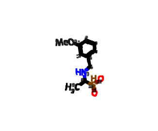 COc1cccc(CNC(C)[SH](=O)=O)c1